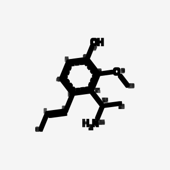 CC=Cc1ccc(O)c(OC)c1C(C)N